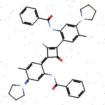 CC1=C/C(=C2/C(=O)C(c3cc(C)c(N4CCCC4)cc3NC(=O)c3ccccc3)=C2[O-])C(NC(=O)c2ccccc2)=CC1=[N+]1CCCC1